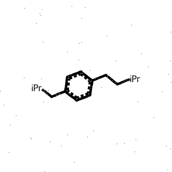 CC(C)CCc1ccc(CC(C)C)cc1